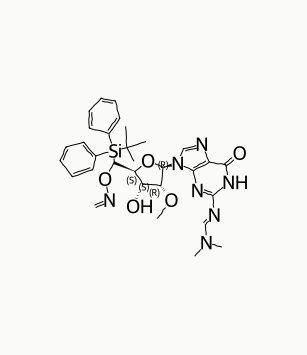 C=NOC([C@H]1O[C@@H](n2cnc3c(=O)[nH]c(N=CN(C)C)nc32)[C@H](OC)[C@@H]1O)[Si](c1ccccc1)(c1ccccc1)C(C)(C)C